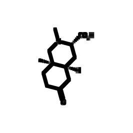 CN1C[C@]2(C)CCC(=O)C[C@@H]2C[C@H]1C(=O)O